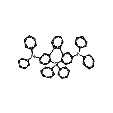 c1ccc(N(c2ccccc2)c2ccc3c(c2)-c2ccccc2-c2cc(N(c4ccccc4)c4ccccc4)ccc2[Si]3(c2ccccc2)c2ccccc2)cc1